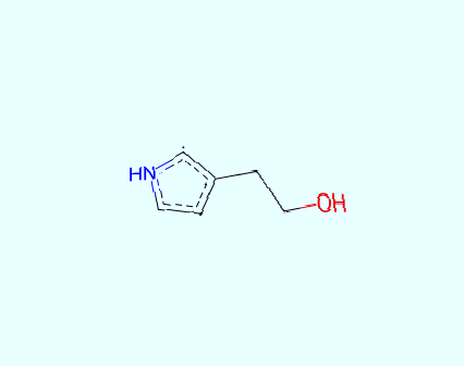 OCCc1[c][nH]cc1